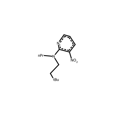 CCCN(CCC(C)(C)C)c1ncccc1[N+](=O)[O-]